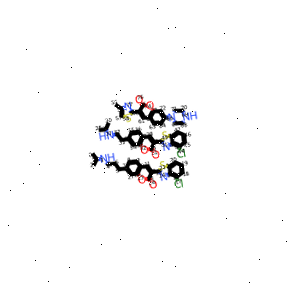 CC(C)NCCCc1ccc2cc(-c3nc4c(Cl)cccc4s3)c(=O)oc2c1.CC(C)NCCc1ccc2cc(-c3nc4c(Cl)cccc4s3)c(=O)oc2c1.Cc1csc(-c2cc3ccc(N4CCNCC4)cc3oc2=O)n1